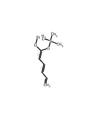 C=C/C=C/C=C(/OCC)O[Si](C)(C)C